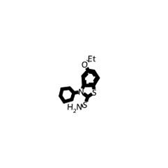 CCOc1ccc2c(c1)N(C1CCCCC1)C(SN)S2